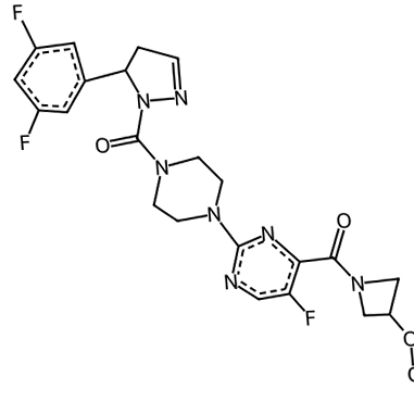 O=C(c1nc(N2CCN(C(=O)N3N=CCC3c3cc(F)cc(F)c3)CC2)ncc1F)N1CC(OC(F)(F)F)C1